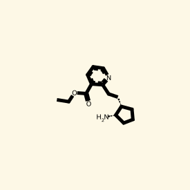 CCOC(=O)c1cccnc1CC[C@@H]1CCC[C@@H]1N